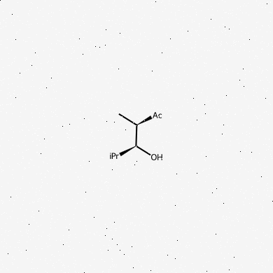 CC(=O)[C@H](C)[C@@H](O)C(C)C